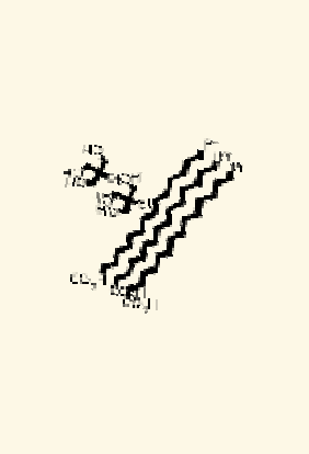 CC(C)CCCCCCCCCCCCCCC(=O)O.CC(C)CCCCCCCCCCCCCCC(=O)O.CC(C)CCCCCCCCCCCCCCC(=O)O.CCC(CO)(CO)CO.CCC(CO)(CO)CO